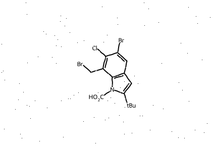 CC(C)(C)c1cc2cc(Br)c(Cl)c(CBr)c2n1C(=O)O